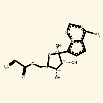 C=CC(=O)OC[C@H]1O[C@@](C#N)(c2ccc3c(N)ncnn23)[C@H](O)[C@@H]1O